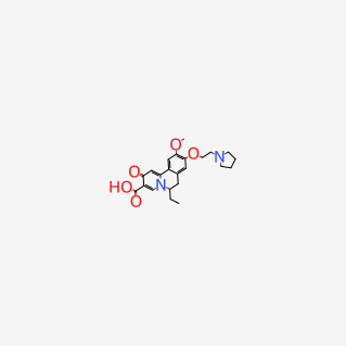 CCC1Cc2cc(OCCN3CCCC3)c(OC)cc2-c2cc(=O)c(C(=O)O)cn21